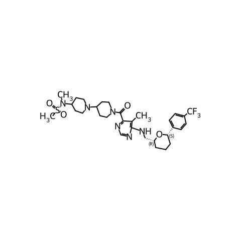 Cc1c(NC[C@H]2CCC[C@@H](c3ccc(C(F)(F)F)cc3)O2)ncnc1C(=O)N1CCC(N2CCC(N(C)S(C)(=O)=O)CC2)CC1